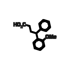 COc1ccccc1C(CCC(=O)O)c1ccccc1